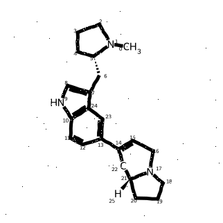 CN1CCC[C@H]1Cc1c[nH]c2ccc(C3=CCN4CCC[C@@H]4C3)cc12